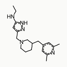 CCNc1cc(CN2CCCC(Cc3cc(C)nc(C)c3)C2)n[nH]1